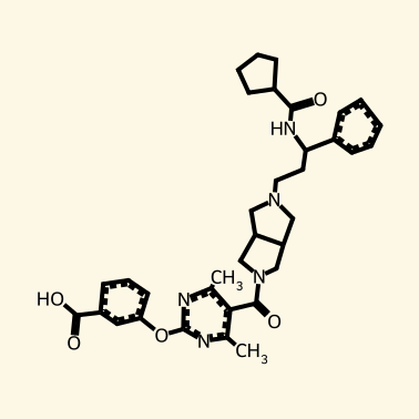 Cc1nc(Oc2cccc(C(=O)O)c2)nc(C)c1C(=O)N1CC2CN(CCC(NC(=O)C3CCCC3)c3ccccc3)CC2C1